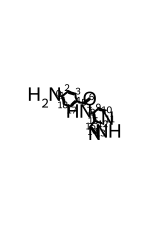 Nc1ccc(C(=O)Nc2ccnc3[nH]ncc23)cc1